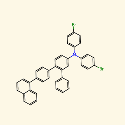 Brc1ccc(N(c2ccc(Br)cc2)c2ccc(-c3ccc(-c4cccc5ccccc45)cc3)c(-c3ccccc3)c2)cc1